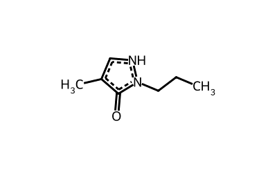 CCCn1[nH]cc(C)c1=O